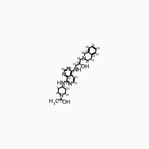 CC(O)N1CCC(Nc2nccc3c(NC[C@H](O)CN4CCc5ccccc5C4)ncnc23)CC1